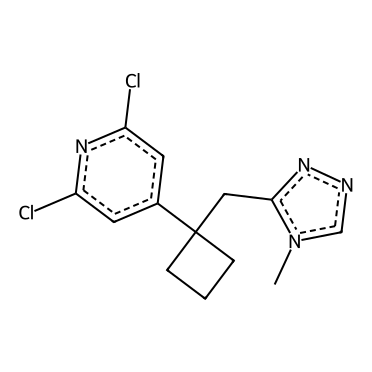 Cn1cnnc1CC1(c2cc(Cl)nc(Cl)c2)CCC1